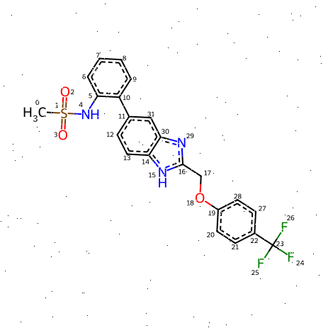 CS(=O)(=O)Nc1ccccc1-c1ccc2[nH]c(COc3ccc(C(F)(F)F)cc3)nc2c1